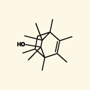 CC1=C(C)C2(C)C(C)CC1(C)C(C)(C)C2(C)O